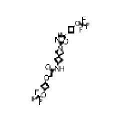 O=C(CO[C@H]1C[C@H](OC(F)(F)F)C1)NC1CC2(C1)CN(c1nnc([C@H]3C[C@H](OC(F)(F)F)C3)o1)C2